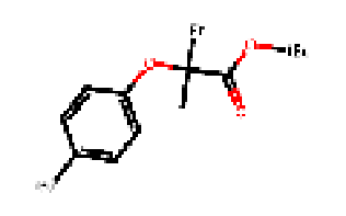 CCC(C)c1ccc(OC(C)(CC)C(=O)OC(C)(C)C)cc1